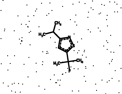 CC(C)c1cc(C(C)(C)F)sn1